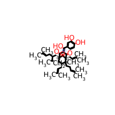 C=C(C)C(CC=C(C)C)C[C@]12C[C@H](CC=C(C)C)[C@@](C)(CCC=C(C)C)[C@](CC=C(C)C)(C(=O)/C(=C(/O)c3ccc(O)c(O)c3)C1=O)C2=O